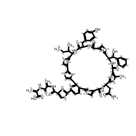 C=C(NC(=O)C(=C)NC(=O)c1csc(-c2ccc3c(n2)-c2csc(n2)-c2csc(n2)C(C(C)CC)NC(=O)C(Cc2ccc(O)cc2)NC(=O)c2csc(n2)C(C(O)c2ccccc2)NC(=O)c2nc(sc2C)C(CC(N)=O)NC(=O)c2csc-3n2)n1)C(=O)O